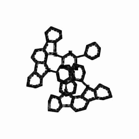 C1=C(n2c3ccccc3c3ccc4c5ccccc5n(-c5ccccc5)c4c32)C=CC=CC=1n1c2ccccc2c2ccc3c4ccccc4n(-c4nc(-c5ccccc5)nc(-c5ccccc5)n4)c3c21